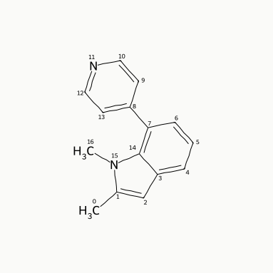 Cc1cc2cccc(-c3ccncc3)c2n1C